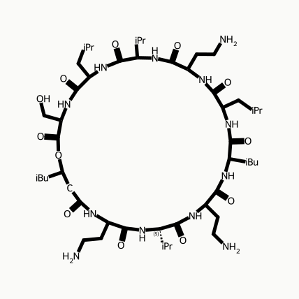 CCC(C)C1CC(=O)NC(CCN)C(=O)N[C@@H](C(C)C)C(=O)NC(CCN)C(=O)NC(C(C)CC)C(=O)NC(CC(C)C)C(=O)NC(CCN)C(=O)NC(C(C)C)C(=O)NC(CC(C)C)C(=O)NC(CO)C(=O)O1